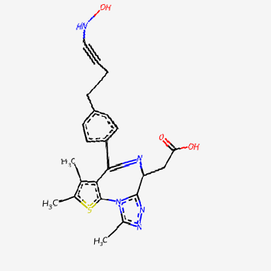 Cc1sc2c(c1C)C(c1ccc(CCC#CNO)cc1)=NC(CC(=O)O)c1nnc(C)n1-2